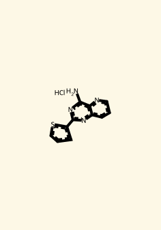 Cl.Nc1nc(-c2cccs2)nc2cccnc12